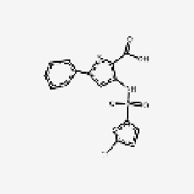 O=C(O)c1sc(-c2ccccc2)cc1NS(=O)(=O)c1ccc(Cl)s1